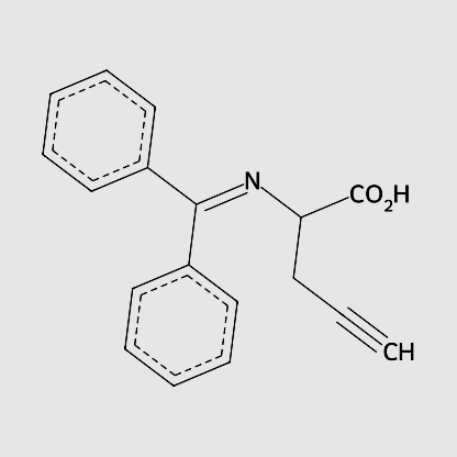 C#CCC(N=C(c1ccccc1)c1ccccc1)C(=O)O